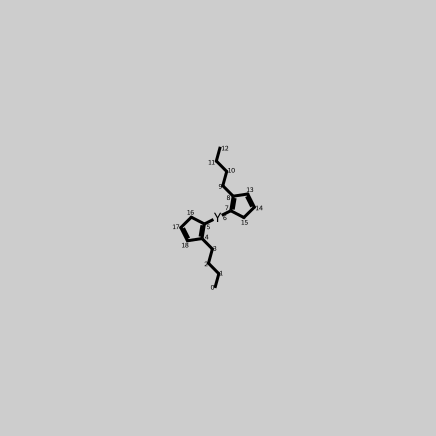 CCCCC1=[C]([Y][C]2=C(CCCC)C=CC2)CC=C1